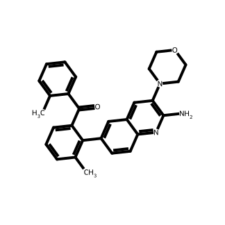 Cc1ccccc1C(=O)c1cccc(C)c1-c1ccc2nc(N)c(N3CCOCC3)cc2c1